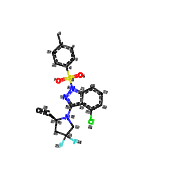 Cc1ccc(S(=O)(=O)n2nc(N3CC(F)(F)C[C@H]3C=O)c3c(Cl)cccc32)cc1